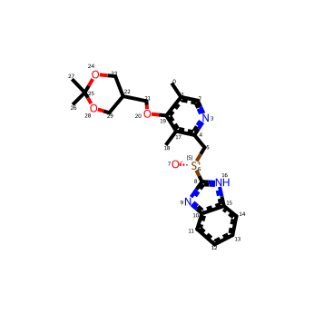 Cc1cnc(C[S@@+]([O-])c2nc3ccccc3[nH]2)c(C)c1OCC1COC(C)(C)OC1